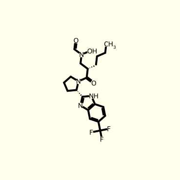 CCCC[C@@H](CN(O)C=O)C(=O)N1CCC[C@H]1c1nc2cc(C(F)(F)F)ccc2[nH]1